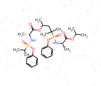 CC(C)OC(=O)[C@@H](C)N[P@@](=O)(Oc1ccccc1)C(C)(C)CC(C)OC(=O)[C@@H](C)N[P@](=O)(Oc1ccccc1)C(C)C